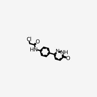 O=C(CCl)Nc1ccc(-c2ccc(=O)[nH]n2)cc1